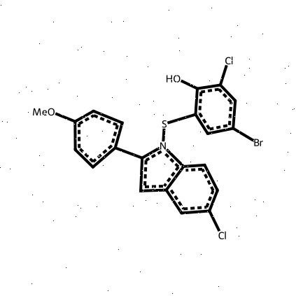 COc1ccc(-c2cc3cc(Cl)ccc3n2Sc2cc(Br)cc(Cl)c2O)cc1